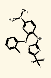 CN(C)c1ccc(Nc2nc(C(F)(F)F)cs2)c(Oc2ccccc2I)n1